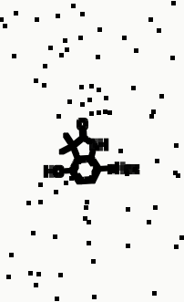 CCCCCCc1ccc(O)c2c1NC(=O)C2(C)C